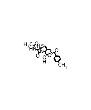 CC(=O)NC1C(=O)N2C(C(=O)O)C(CSC(=O)c3ccc(C)cc3)=CS[C@H]12